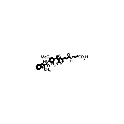 COc1cc(-c2csc3c(C=CC(=O)NCCCC(=O)O)cnc(N)c23)ccc1NC(=O)c1cc2ccccc2n1C